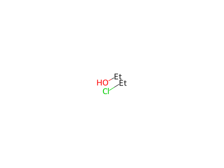 [CH2]CCl.[CH2]CO